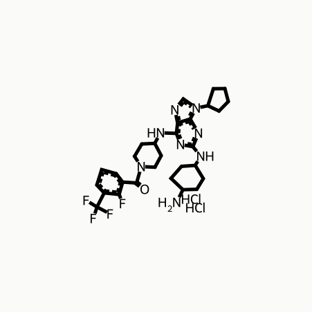 Cl.Cl.NC1CCC(Nc2nc(NC3CCN(C(=O)c4cccc(C(F)(F)F)c4F)CC3)c3ncn(C4CCCC4)c3n2)CC1